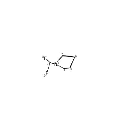 FC(F)N1CCCC1